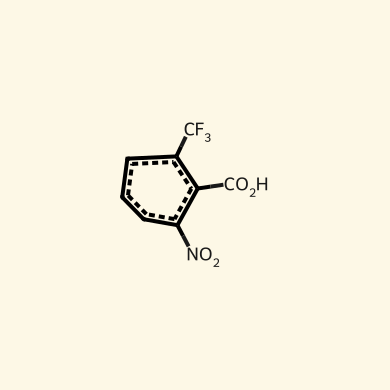 O=C(O)c1c([N+](=O)[O-])cccc1C(F)(F)F